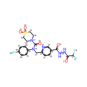 O=C(NNC(=O)C(F)F)c1ccc(CN(C(=O)N2CCS(=O)(=O)CC2)c2ccc(F)cc2)nc1